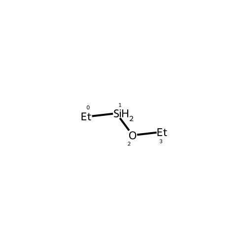 [CH2]C[SiH2]OCC